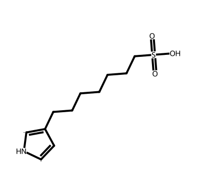 O=S(=O)(O)CCCCCCCc1[c][nH][c]c1